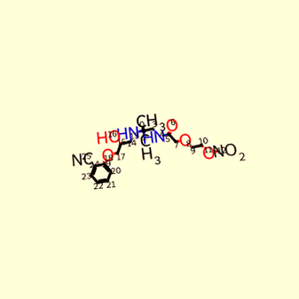 CC(C)(CNC(=O)COCCO[N+](=O)[O-])NCC(O)COc1ccccc1C#N